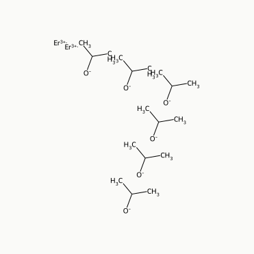 CC(C)[O-].CC(C)[O-].CC(C)[O-].CC(C)[O-].CC(C)[O-].CC(C)[O-].[Er+3].[Er+3]